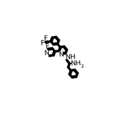 N[C@H](CNc1ccc(-c2cccc(C(F)(F)F)c2)c(-c2ccncc2)n1)Cc1ccccc1